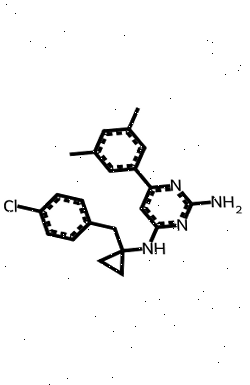 Cc1cc(C)cc(-c2cc(NC3(Cc4ccc(Cl)cc4)CC3)nc(N)n2)c1